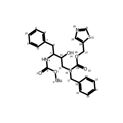 CC(C)(C)OC(=O)NC(Cc1ccccc1)C(O)CN(Cc1ccccc1)C(=O)OCc1cncs1